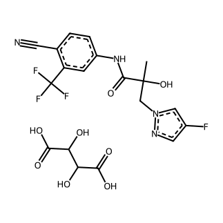 CC(O)(Cn1cc(F)cn1)C(=O)Nc1ccc(C#N)c(C(F)(F)F)c1.O=C(O)C(O)C(O)C(=O)O